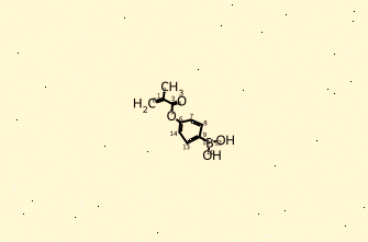 C=C(C)C(=O)Oc1ccc(B(O)O)cc1